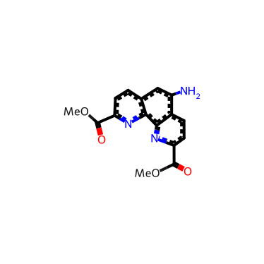 COC(=O)c1ccc2cc(N)c3ccc(C(=O)OC)nc3c2n1